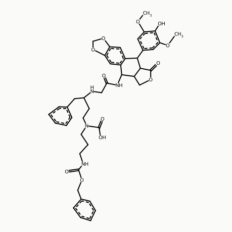 COc1cc(C2c3cc4c(cc3C(NC(=O)CNC(CCN(CCCNC(=O)OCc3ccccc3)C(=O)O)Cc3ccccc3)C3COC(=O)C23)OCO4)cc(OC)c1O